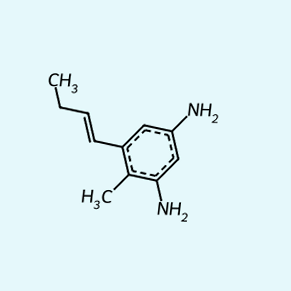 CCC=Cc1cc(N)cc(N)c1C